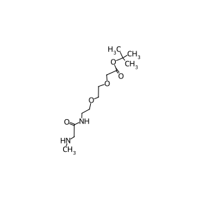 CNCC(=O)NCCOCCOCC(=O)OC(C)(C)C